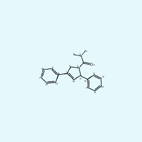 CN(C)C(=O)N1CC(c2ccccc2)=CC1c1ccccc1